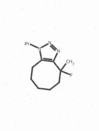 CC(C)n1nnc2c1CCCCCC2(C)F